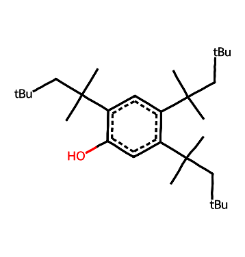 CC(C)(C)CC(C)(C)c1cc(C(C)(C)CC(C)(C)C)c(C(C)(C)CC(C)(C)C)cc1O